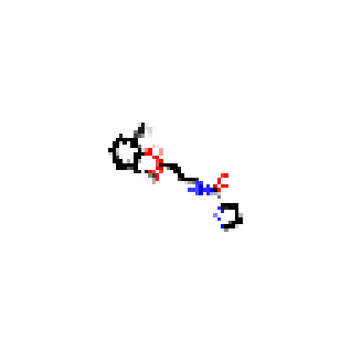 CC(C)c1cccc(C(C)C)c1OC(=O)CCCNC(=O)[C@@H]1CCCN1